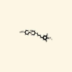 CCC[C@H]1CC[C@H]([Si@H]2CC[C@H](CCCCc3cc(F)c(C(F)(F)F)c(F)c3)CC2)CC1